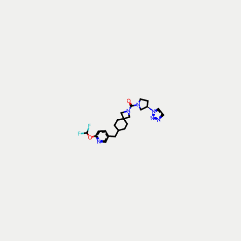 O=C(N1CC[C@@H](n2ccnn2)C1)N1CC2(CCC(Cc3ccc(OC(F)F)nc3)CC2)C1